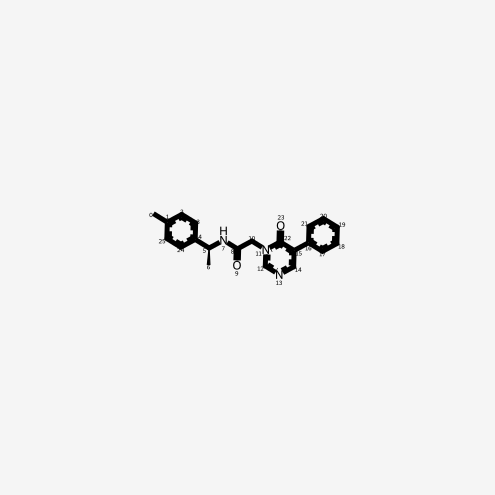 Cc1ccc([C@H](C)NC(=O)Cn2cncc(-c3ccccc3)c2=O)cc1